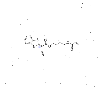 C=CC(=O)OCCCCOC(=O)/C(C#N)=C1\Sc2ccccc2N1C